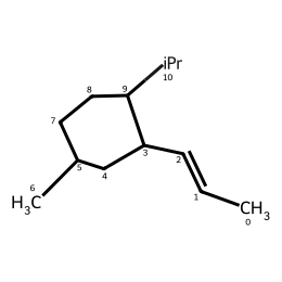 CC=CC1CC(C)CCC1C(C)C